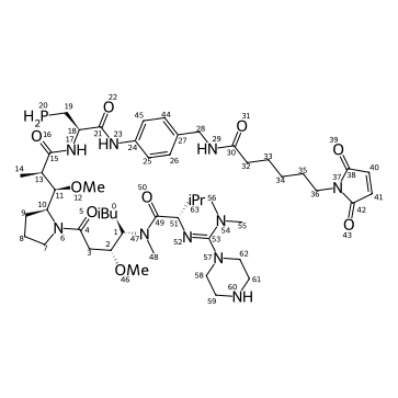 CC[C@H](C)[C@@H]([C@@H](CC(=O)N1CCC[C@H]1[C@H](OC)[C@@H](C)C(=O)N[C@@H](CP)C(=O)Nc1ccc(CNC(=O)CCCCCN2C(=O)C=CC2=O)cc1)OC)N(C)C(=O)[C@@H](/N=C(\N(C)C)N1CCNCC1)C(C)C